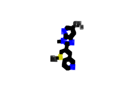 CCSC/C(=C\c1cccnc1)c1nc2cc(C(F)(F)F)cnc2n1C